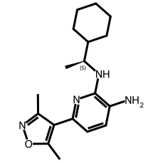 Cc1noc(C)c1-c1ccc(N)c(N[C@@H](C)C2CCCCC2)n1